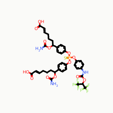 NC(=O)OC(CCCC=CC(=O)O)c1ccc(OP(=S)(Oc2ccc(NC(=O)OC(C(F)(F)F)C(F)(F)F)cc2)Oc2ccc(C(CCCC=CC(=O)O)OC(N)=O)cc2)cc1